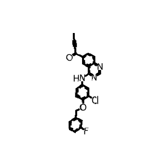 CC#CC(=O)c1ccc2ncnc(Nc3ccc(OCc4cccc(F)c4)c(Cl)c3)c2c1